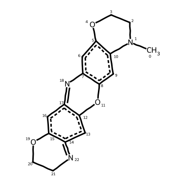 CN1CCOc2cc3c(cc21)Oc1cc2c(cc1=N3)OCCN=2